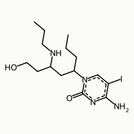 CCCNC(CCO)CC(CCC)n1cc(I)c(N)nc1=O